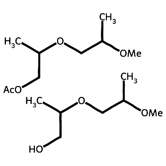 COC(C)COC(C)CO.COC(C)COC(C)COC(C)=O